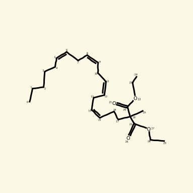 CCCCC/C=C\C/C=C\C/C=C\C/C=C\CCC(C)(C(=O)OCC)C(=O)OCC